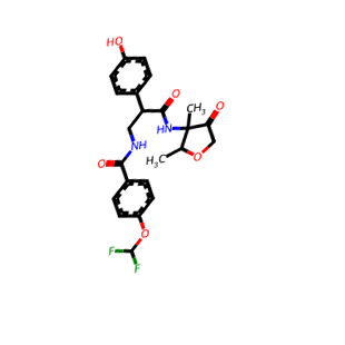 CC1OCC(=O)C1(C)NC(=O)C(CNC(=O)c1ccc(OC(F)F)cc1)c1ccc(O)cc1